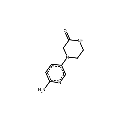 Nc1ccc(N2CCNC(=O)C2)cn1